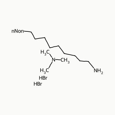 Br.Br.CCCCCCCCCCCCCCCCCCN.CN(C)C